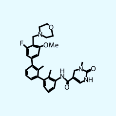 COc1cc(-c2cccc(-c3cccc(NC(=O)C4=CNC(=O)N(C)C4)c3C)c2C)cc(F)c1CN1CCOCC1